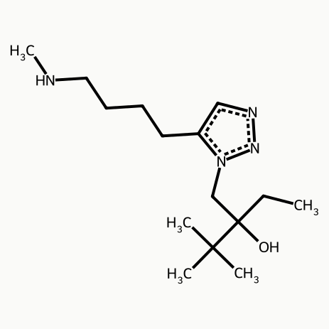 CCC(O)(Cn1nncc1CCCCNC)C(C)(C)C